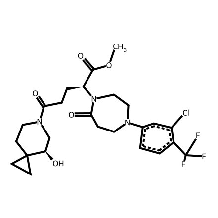 COC(=O)[C@H](CCC(=O)N1CCC2(CC2)[C@H](O)C1)N1CCN(c2ccc(C(F)(F)F)c(Cl)c2)CCC1=O